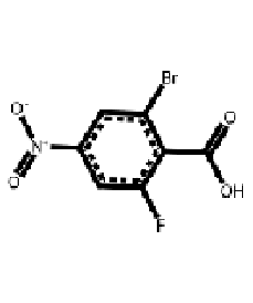 O=C(O)c1c(F)cc([N+](=O)[O-])cc1Br